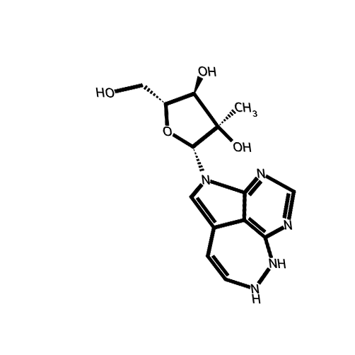 C[C@@]1(O)[C@H](O)[C@@H](CO)O[C@H]1n1cc2c3c(ncnc31)NNC=C2